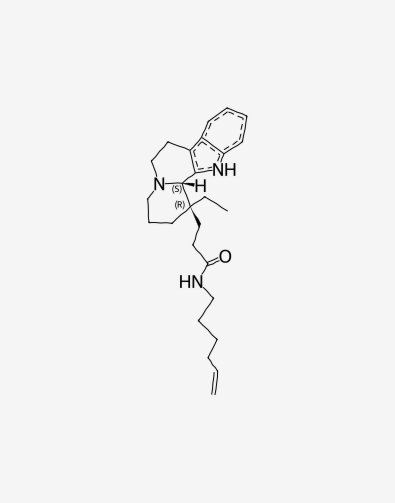 C=CCCCCNC(=O)CC[C@@]1(CC)CCCN2CCc3c([nH]c4ccccc34)[C@@H]21